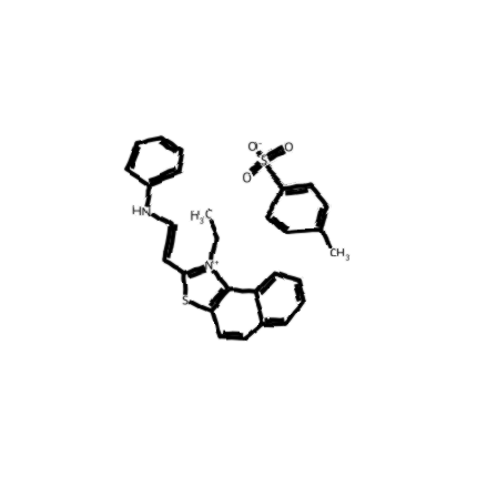 CC[n+]1c(C=CNc2ccccc2)sc2ccc3ccccc3c21.Cc1ccc(S(=O)(=O)[O-])cc1